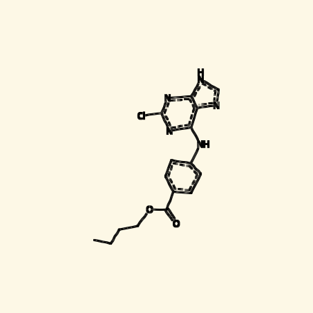 CCCCOC(=O)c1ccc(Nc2nc(Cl)nc3[nH]cnc23)cc1